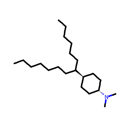 CCCCCCCC(CCCCCC)[C@H]1CC[C@H](N(C)C)CC1